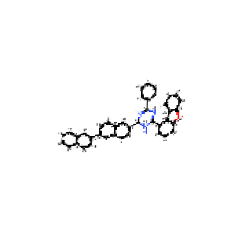 c1ccc(C2=NC(c3ccc4cc(-c5ccc6ccccc6c5)ccc4c3)NC(c3cccc4oc5ccccc5c34)=N2)cc1